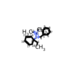 CCC1(N(Cc2ccccc2)N(C)C)C=CC=CC1